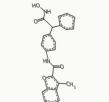 Cc1c(C(=O)Nc2ccc(C(C(=O)NO)c3ccccc3)cc2)oc2ccccc12